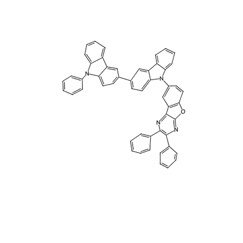 c1ccc(-c2nc3oc4ccc(-n5c6ccccc6c6cc(-c7ccc8c(c7)c7ccccc7n8-c7ccccc7)ccc65)cc4c3nc2-c2ccccc2)cc1